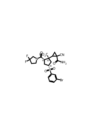 N#CC1(C(N)=O)CC1[C@]1(C(=O)O)C[C@H](S(=O)(=O)c2cccc(Br)c2)C[C@H]1C(=O)N1CCC(F)(F)C1